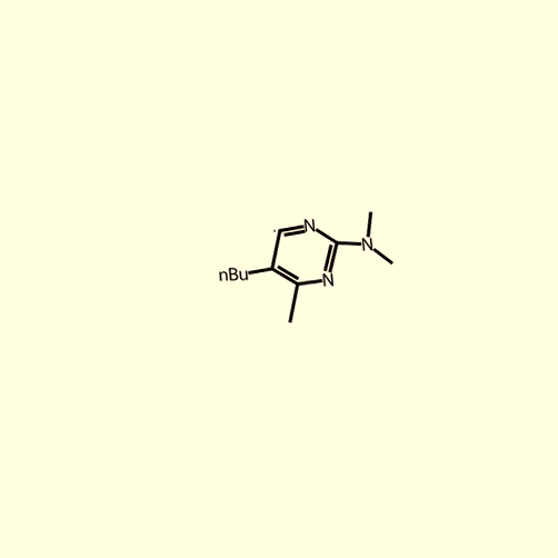 CCCCc1[c]nc(N(C)C)nc1C